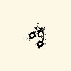 CC(C)c1ccc(N2CNC(=O)C23CCN(Cc2ccccc2)CC3)cc1